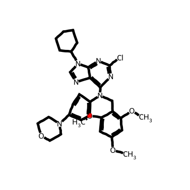 COc1cc(OC)c(CN(c2ccc(N3CCOCC3)cc2)c2nc(Cl)nc3c2ncn3C2CCCCC2)c(OC)c1